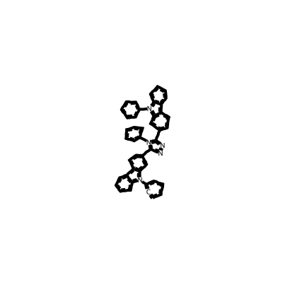 c1ccc(-n2c(-c3ccc4c5ccccc5n(-c5ccccc5)c4c3)nnc2-c2ccc3c4ccccc4n(-c4ccccc4)c3c2)cc1